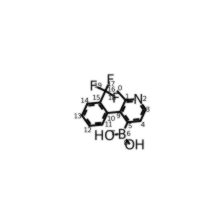 Cc1nccc(B(O)O)c1-c1ccccc1C(F)(F)F